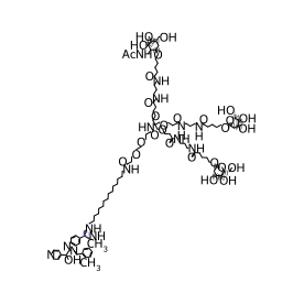 CC(=O)NC1[C@@H](O)[C@@H](O)[C@@H](CO)C[C@H]1OCCCCC(=O)NCCCNC(=O)CCOCC(COCCC(=O)NCCCNC(=O)CCCCO[C@H]1C[C@@H](O)[C@@H](O)[C@@H](CO)O1)(COCCC(=O)NCCCNC(=O)CCCCO[C@H]1C[C@@H](O)[C@@H](O)[C@@H](CO)O1)NC(=O)CCOCCOCCC(=O)NCCCCCCCCCCCCCCCN/C=C(\C=N)c1ccc2nc(C(O)c3ccncc3)n(Cc3cc(C)ccc3C)c2c1